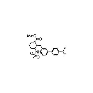 COC(=O)N1CCC[C@H](NS(C)(=O)=O)[C@@H]1Cc1cccc(-c2ccc(C(F)F)cc2)c1